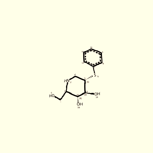 OCC1NC[C@H](Sc2ccccc2)[C@@H](O)[C@@H]1O